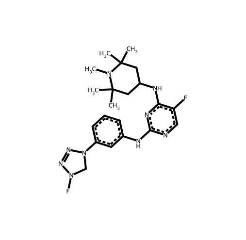 CN1C(C)(C)CC(Nc2nc(Nc3cccc(N4CN(F)N=N4)c3)ncc2F)CC1(C)C